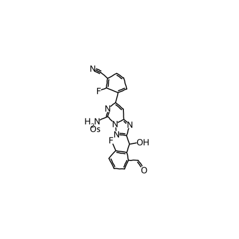 N#Cc1cccc(-c2cc3nc(C(O)c4c(F)cccc4C=O)nn3c(N)n2)c1F.[Os]